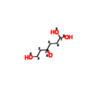 O=C(CCO)CCC(O)O